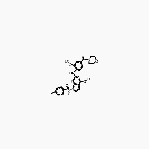 CCOc1cc(C(=O)N2CCOCC2)ccc1Nc1nc(OCC)c2ccn(S(=O)(=O)c3ccc(C)cc3)c2n1